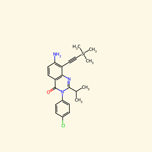 CC(C)c1nc2c(C#C[Si](C)(C)C)c(N)ccc2c(=O)n1-c1ccc(Cl)cc1